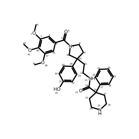 COc1cc(C(=O)N2CCC(CCNC(=O)C3(c4ccccc4)CCNCC3)(c3ccc(O)cc3)C2)cc(OC)c1OC